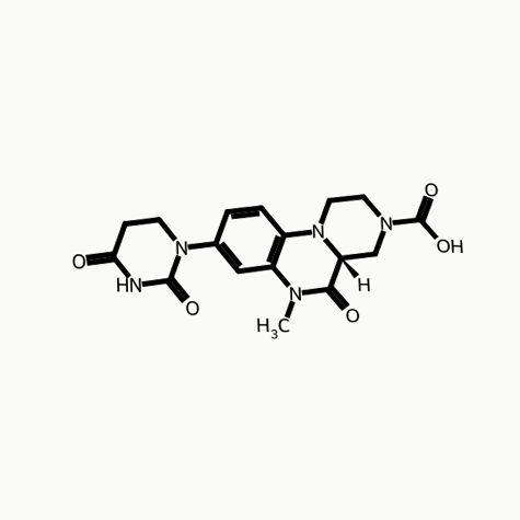 CN1C(=O)[C@H]2CN(C(=O)O)CCN2c2ccc(N3CCC(=O)NC3=O)cc21